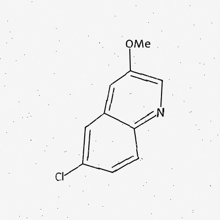 COc1cnc2[c]cc(Cl)cc2c1